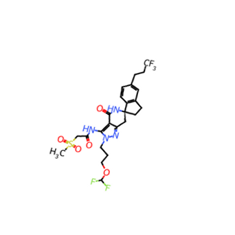 CS(=O)(=O)CC(=O)Nc1c2c(nn1CCCOC(F)F)C[C@@]1(CCc3cc(CCC(F)(F)F)ccc31)NC2=O